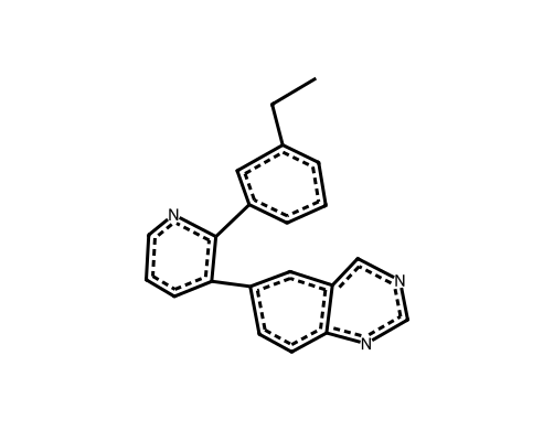 CCc1cccc(-c2ncccc2-c2ccc3ncncc3c2)c1